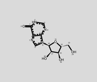 O=c1[nH]cnc2c1ncn2[C@H]1O[C@H](CO)[C@@H](O)[C@H]1O